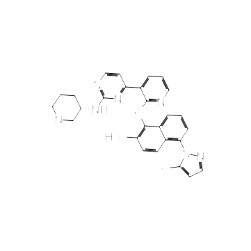 Cc1ccc2c(-n3nccc3C)cccc2c1Oc1ncccc1-c1ccnc(N[C@H]2CCCNC2)n1